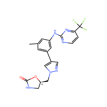 Cc1cc(Nc2nccc(C(F)(F)F)n2)cc(-c2cnn(C[C@H]3CNC(=O)O3)c2)c1